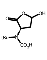 CC(C)(C)N(C(=O)O)[C@@H]1CC(O)OC1=O